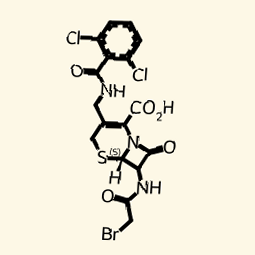 O=C(CBr)NC1C(=O)N2C(C(=O)O)=C(CNC(=O)c3c(Cl)cccc3Cl)CS[C@@H]12